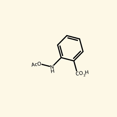 CC(=O)ONc1ccccc1C(=O)O